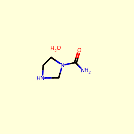 NC(=O)N1CCNC1.O